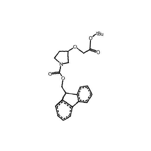 CC(C)(C)OC(=O)COC1CCN(C(=O)OCC2c3ccccc3-c3ccccc32)C1